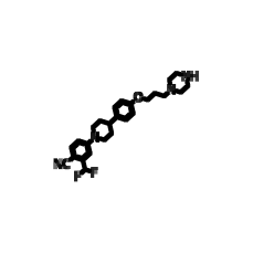 N#Cc1ccc(N2CCC(c3ccc(OCCCN4CCNCC4)cc3)CC2)cc1C(F)F